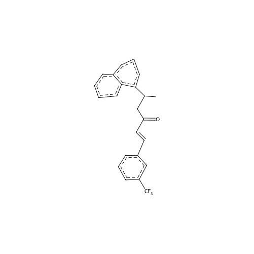 CC(CC(=O)/C=C/c1cccc(C(F)(F)F)c1)c1cccc2ccccc12